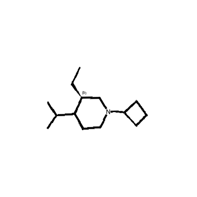 CC[C@H]1CN(C2CCC2)CCC1C(C)C